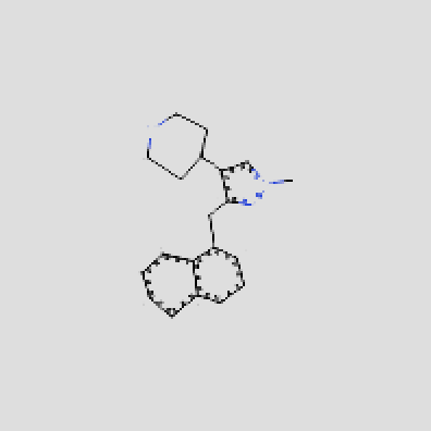 Cn1cc(C2CCNCC2)c(Cc2cccc3ccccc23)n1